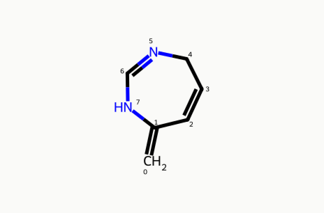 C=C1C=CCN=CN1